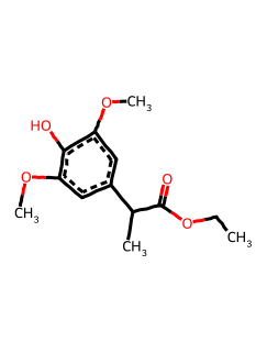 CCOC(=O)C(C)c1cc(OC)c(O)c(OC)c1